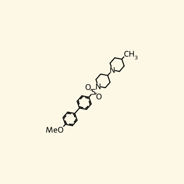 COc1ccc(-c2ccc(S(=O)(=O)N3CCC(N4CCC(C)CC4)CC3)cc2)cc1